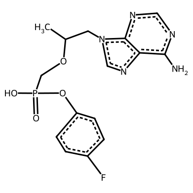 CC(Cn1cnc2c(N)ncnc21)OCP(=O)(O)Oc1ccc(F)cc1